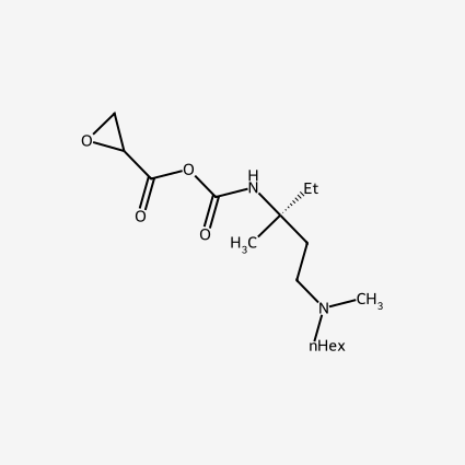 CCCCCCN(C)CC[C@](C)(CC)NC(=O)OC(=O)C1CO1